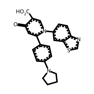 O=C(O)c1cn(-c2ccc3ncsc3c2)c(-c2ccc(N3CCCC3)cc2)cc1=O